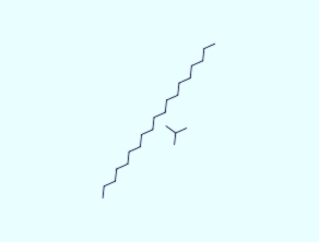 CC(C)C.CCCCCCCCCCCCCCCCCCC